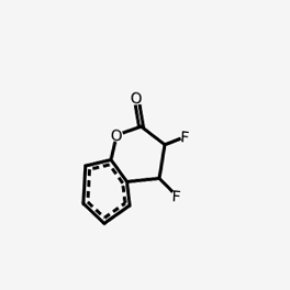 O=C1Oc2ccccc2C(F)C1F